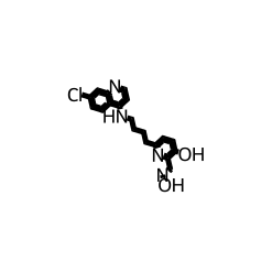 ON=Cc1nc(CCCCNc2ccnc3cc(Cl)ccc23)ccc1O